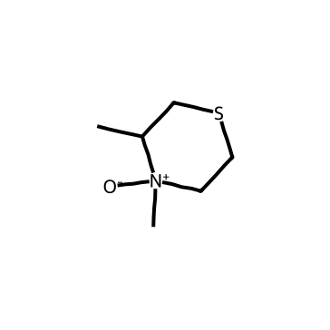 CC1CSCC[N+]1(C)[O-]